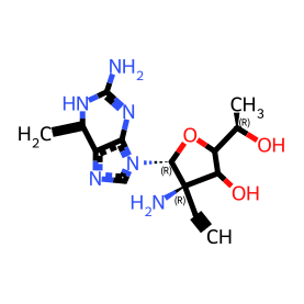 C#C[C@@]1(N)C(O)C([C@@H](C)O)O[C@H]1n1cnc2c1N=C(N)NC2=C